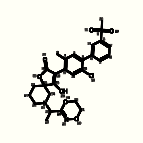 Cc1cc(-c2cccc(S(C)(=O)=O)c2)c(Cl)cc1C1=C(O)C2(CCCN(C(C)C3=NOCCO3)C2)OC1=O